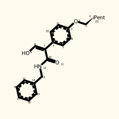 CCC[C@H](C)COc1ccc(C(=CO)C(=O)NCc2ccccc2)cc1